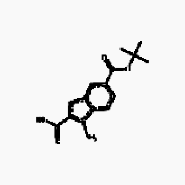 CC(C)(C)OC(=O)c1ccc2c(c1)cc(C(=O)O)n2N